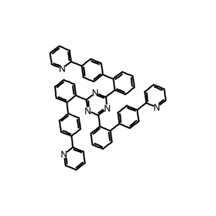 c1ccc(-c2ccc(-c3ccccc3-c3nc(-c4ccccc4-c4ccc(-c5ccccn5)cc4)nc(-c4ccccc4-c4ccc(-c5ccccn5)cc4)n3)cc2)nc1